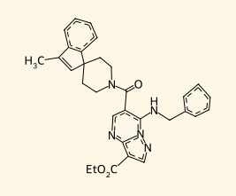 CCOC(=O)c1cnn2c(NCc3ccccc3)c(C(=O)N3CCC4(C=C(C)c5ccccc54)CC3)cnc12